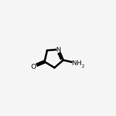 NC1=NCC(=O)C1